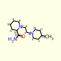 CC1CCN(CCN2CC[CH]CC2C(N)=O)CC1